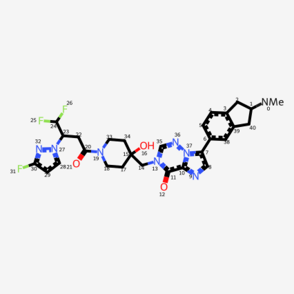 CNC1Cc2ccc(-c3cnc4c(=O)n(CC5(O)CCN(C(=O)CC(C(F)F)n6ccc(F)n6)CC5)cnn34)cc2C1